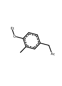 CCOc1ccc(CC(C)=O)cc1C